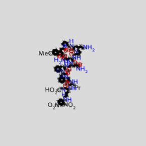 COc1ccc2c(CC(=O)N3CCC[C@H]3C(=O)N[C@@H](CCCCN)C(=O)N3CCC[C@H]3C(=O)N[C@@H](CCC(N)=O)C(=O)N[C@@H](CCC(N)=O)C(=O)N[C@@H](Cc3ccccc3)C(=O)N[C@@H](Cc3ccccc3)C(=O)NCC(=O)N[C@@H](CC(C)C)C(=O)N[C@@H](CCCCNc3ccc([N+](=O)[O-])cc3[N+](=O)[O-])C(=O)NCC(=O)O)cc(=O)oc2c1